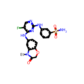 CCN1C(=O)COc2ccc(Nc3nc(Nc4cccc(S(N)(=O)=O)c4)ncc3F)cc21